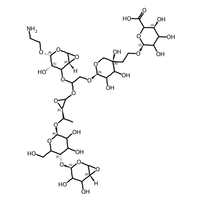 CC(O[C@@H]1OC(CO)[C@@H](O[C@H]2OC3O[C@@H]3C(O)C2O)C(O)C1O)[C@H]1OC1OC(CO[C@H]1OC[C@](O)(CCO[C@H]2OC(C(=O)O)[C@@H](O)C(O)C2O)C(O)C1O)OC1[C@H]2OC2O[C@@H](OCCN)[C@H]1O